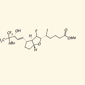 CCCCC(C)([C@H](O)/C=C/[C@H]1CC[C@H]2O[C@@H](C(I)CCCC(=O)OC)C(F)[C@H]12)C(F)(F)F